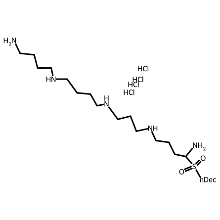 CCCCCCCCCCS(=O)(=O)C(N)CCCNCCCNCCCCNCCCCN.Cl.Cl.Cl.Cl